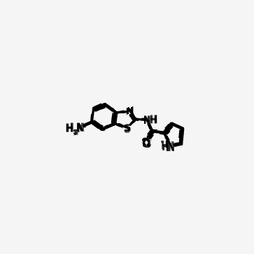 Nc1ccc2nc(NC(=O)c3ccc[nH]3)sc2c1